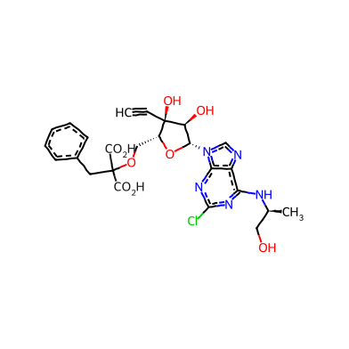 C#C[C@@]1(O)[C@@H](COC(Cc2ccccc2)(C(=O)O)C(=O)O)O[C@@H](n2cnc3c(N[C@@H](C)CO)nc(Cl)nc32)[C@@H]1O